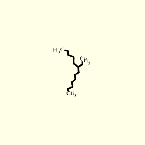 CCCCCCCC(CC)CCCCC